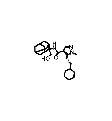 Cn1ncc(C(=O)NC2(CO)C3CC4CC(C3)CC2C4)c1OCC1CCCCC1